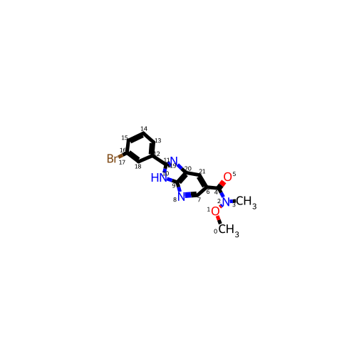 CON(C)C(=O)c1cnc2[nH]c(-c3cccc(Br)c3)nc2c1